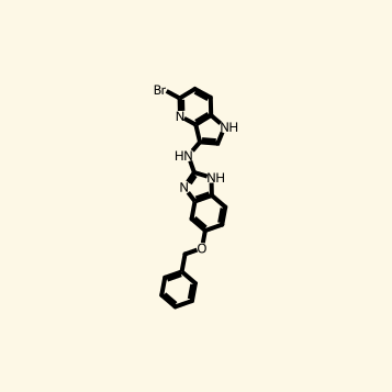 Brc1ccc2[nH]cc(Nc3nc4cc(OCc5ccccc5)ccc4[nH]3)c2n1